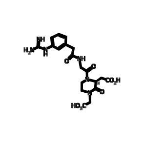 N=C(N)Nc1cccc(CC(=O)NCC(=O)N2CCN(CC(=O)O)C(=O)[C@@H]2CC(=O)O)c1